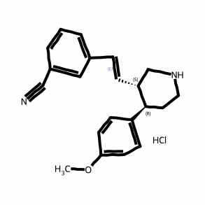 COc1ccc([C@@H]2CCNC[C@H]2/C=C/c2cccc(C#N)c2)cc1.Cl